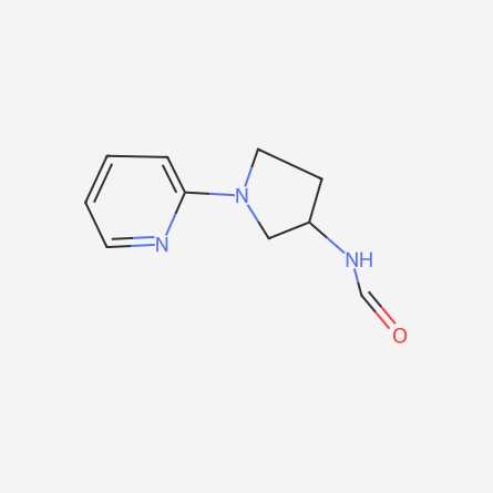 O=CNC1CCN(c2ccccn2)C1